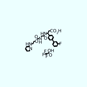 O=C(O)C(F)(F)F.O=C(O)CC(NC(=O)CNC(=O)OCCNc1ccccn1)c1ccc(-c2cccc(F)c2)cc1